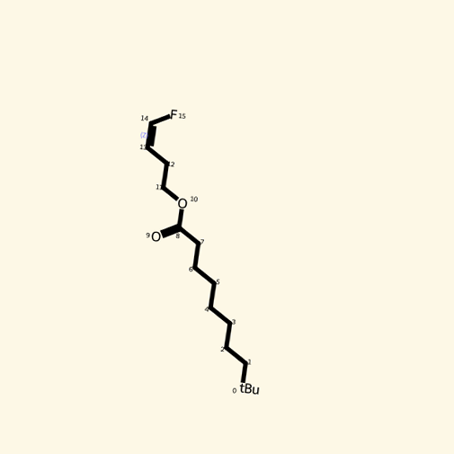 CC(C)(C)CCCCCCCC(=O)OCC/C=C\F